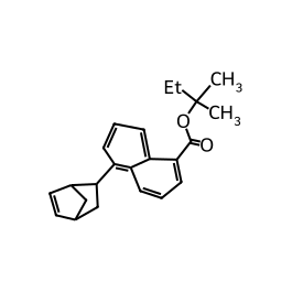 CCC(C)(C)OC(=O)c1cccc2c(C3CC4C=CC3C4)cccc12